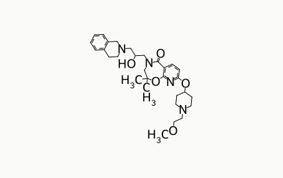 COCCN1CCC(Oc2ccc3c(n2)OC(C)(C)CN(CC(O)CN2CCc4ccccc4C2)C3=O)CC1